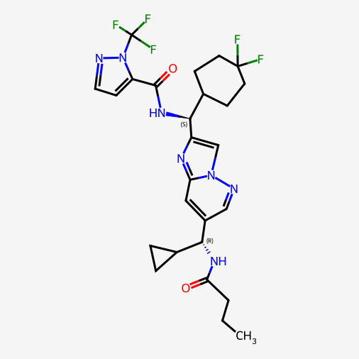 CCCC(=O)N[C@@H](c1cnn2cc([C@@H](NC(=O)c3ccnn3C(F)(F)F)C3CCC(F)(F)CC3)nc2c1)C1CC1